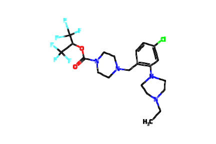 CCN1CCN(c2cc(Cl)ccc2CN2CCN(C(=O)OC(C(F)(F)F)C(F)(F)F)CC2)CC1